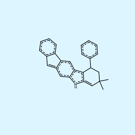 CC1(C)C=c2[nH]c3cc4c(cc3c2C(c2ccccc2)C1)-c1ccccc1C=4